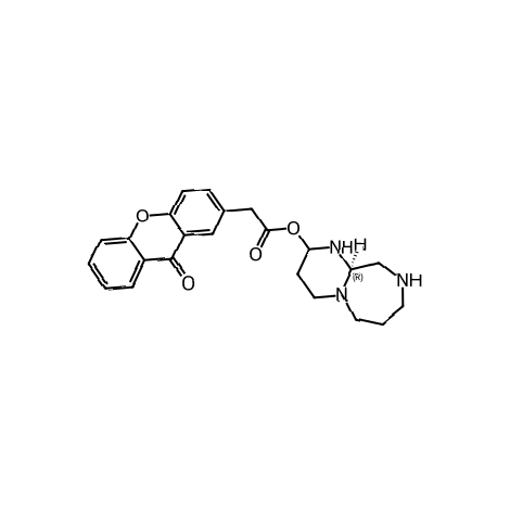 O=C(Cc1ccc2oc3ccccc3c(=O)c2c1)OC1CCN2CCCNC[C@@H]2N1